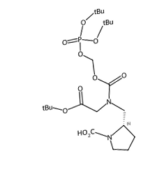 CC(C)(C)OC(=O)CN(C[C@@H]1CCCN1C(=O)O)C(=O)OCOP(=O)(OC(C)(C)C)OC(C)(C)C